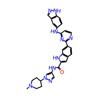 CN1CCC(n2cc(NC(=O)c3cc4ccc(-c5nccc(Nc6ccc7[nH]ncc7c6)n5)cc4[nH]3)cn2)CC1